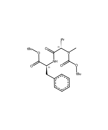 CC(C)[C@@H](C(=O)N[C@@H](Cc1ccccc1)C(=O)OC(C)(C)C)N(C)C(=O)OC(C)(C)C